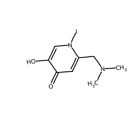 CN(C)Cc1cc(=O)c(O)cn1I